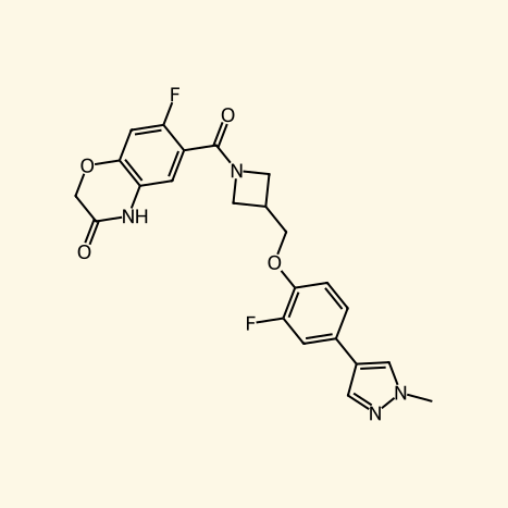 Cn1cc(-c2ccc(OCC3CN(C(=O)c4cc5c(cc4F)OCC(=O)N5)C3)c(F)c2)cn1